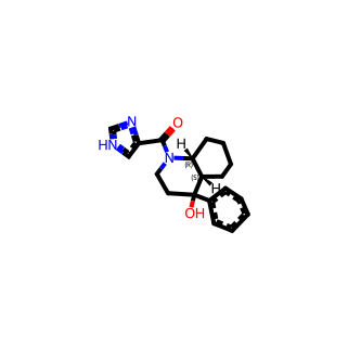 O=C(c1c[nH]cn1)N1CCC(O)(c2ccccc2)[C@H]2CCCC[C@H]21